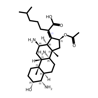 CC(=O)O[C@H]1C[C@@]2(C)[C@H](/C1=C(\CCCC(C)C)C(=O)O)[C@H](N)C[C@H]1[C@@]3(C)CC[C@@H](O)[C@@H](N)[C@@H]3CC[C@@]12N